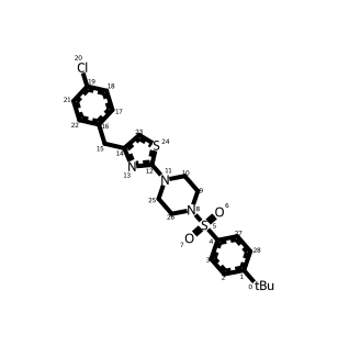 CC(C)(C)c1ccc(S(=O)(=O)N2CCN(c3nc(Cc4ccc(Cl)cc4)cs3)CC2)cc1